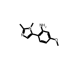 COc1ccc(-c2cnc(C)n2C)c(N)c1